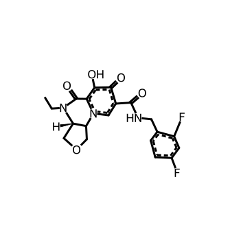 CCN1C(=O)c2c(O)c(=O)c(C(=O)NCc3ccc(F)cc3F)cn2C2COC[C@@H]21